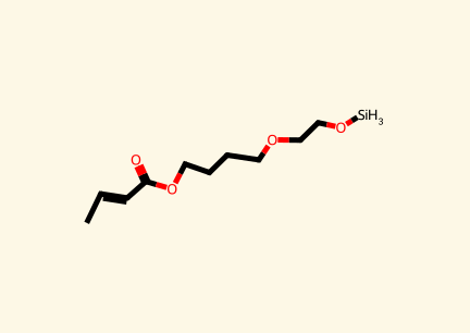 CC=CC(=O)OCCCCOCCO[SiH3]